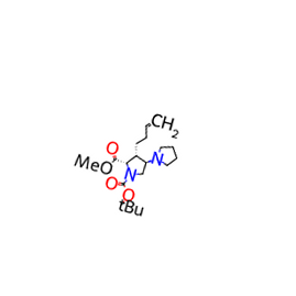 C=CCC[C@H]1[C@@H](C(=O)OC)N(C(=O)OC(C)(C)C)C[C@@H]1N1CCCC1